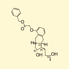 C[C@H](O)CC[C@@H]1[C@H]2Cc3cccc(OCC(=O)OCc4ccccc4)c3C[C@H]2C[C@H]1O